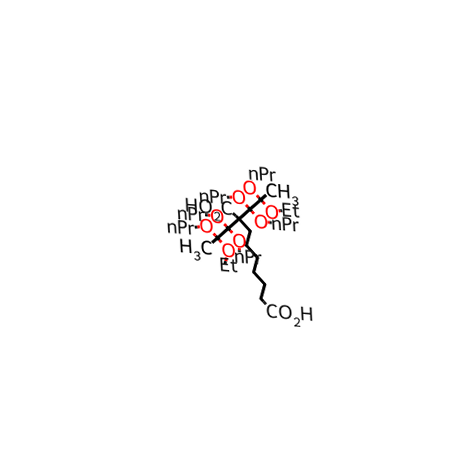 CCCOC(C)(OCC)C(OCCC)(OCCC)C(CCCCCCC(=O)O)(C(=O)O)C(OCCC)(OCCC)C(C)(OCC)OCCC